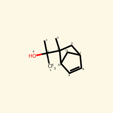 CC1(C(C)(O)C(F)(F)F)CC2C=CC1C2